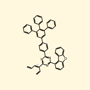 C=C/C=C(\C=C)c1nc(-c2ccc(-c3cc(-c4ccccc4)c(-c4ccccc4)c(-c4ccccc4)c3)cc2)nc(-c2cccc3oc4ccccc4c23)n1